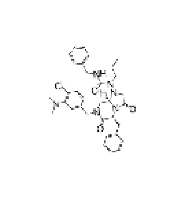 CCCN(C(=O)NCc1ccccc1)N1CC(=O)N2[C@@H](Cc3ccccc3)C(=O)N(Cc3ccc(Cl)c(N(C)C)c3)C[C@@H]21